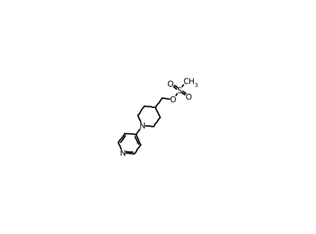 CS(=O)(=O)OCC1CCN(c2ccncc2)CC1